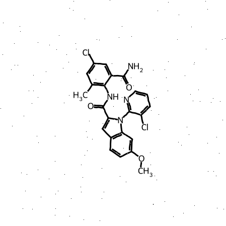 COc1ccc2cc(C(=O)Nc3c(C)cc(Cl)cc3C(N)=O)n(-c3ncccc3Cl)c2c1